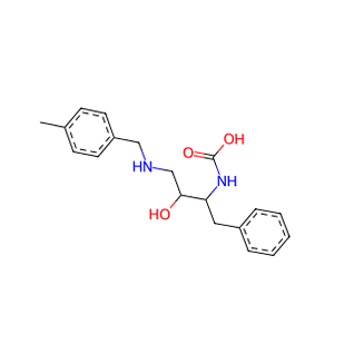 Cc1ccc(CNCC(O)C(Cc2ccccc2)NC(=O)O)cc1